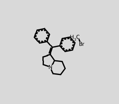 CBr.c1ccc(C(=C2CCN3CCCCC23)c2ccccc2)cc1